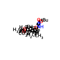 C=C(C)[C@@H]1CC[C@]2(CC(=O)N[C@H]3CCN(C(=O)OC(C)(C)C)C3)CC[C@]3(C)[C@H](CC[C@@H]4[C@@]5(C)CC[C@H](OC(=O)CC(C)(C)CC(=O)O)C(C)(C)[C@@H]5CC[C@]43C)[C@@H]12